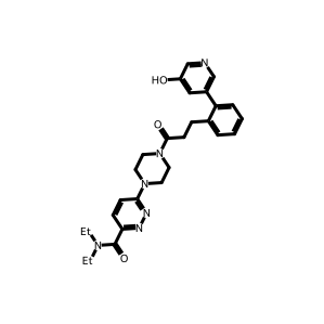 CCN(CC)C(=O)c1ccc(N2CCN(C(=O)CCc3ccccc3-c3cncc(O)c3)CC2)nn1